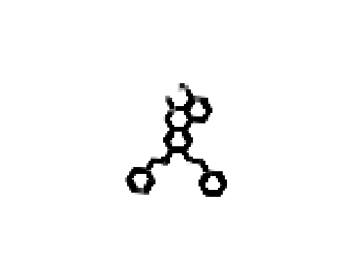 CCc1cccc2c1N(C)Cc1cc(OCc3ccccc3)c(OCc3ccccc3)cc1-2